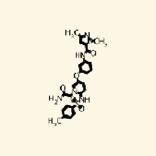 Cc1ccc(S(=O)(=O)NC2C=CC(Oc3cccc(NC(=O)c4cc(C)nn4C)c3)=CN2CC(N)=O)cc1